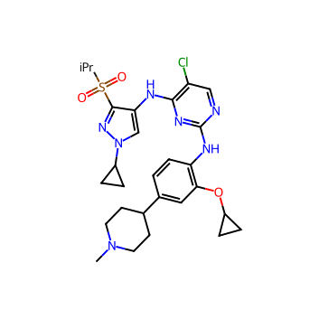 CC(C)S(=O)(=O)c1nn(C2CC2)cc1Nc1nc(Nc2ccc(C3CCN(C)CC3)cc2OC2CC2)ncc1Cl